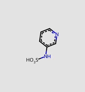 O=S(=O)(O)Nc1cccnc1